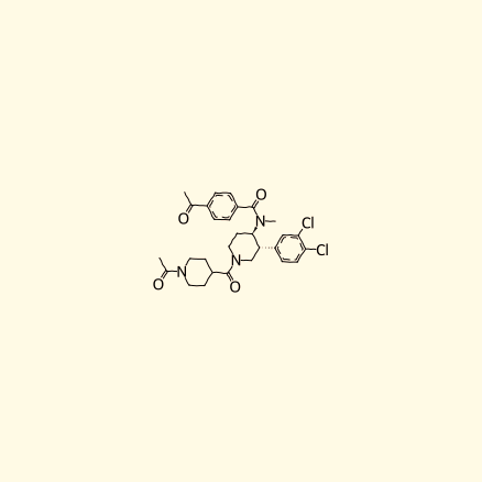 CC(=O)c1ccc(C(=O)N(C)[C@@H]2CCN(C(=O)C3CCN(C(C)=O)CC3)C[C@H]2c2ccc(Cl)c(Cl)c2)cc1